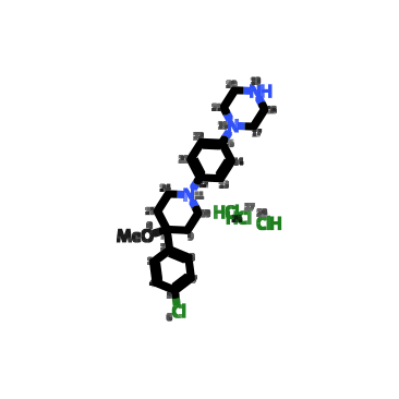 COC1(c2ccc(Cl)cc2)CCN(c2ccc(N3CCNCC3)cc2)CC1.Cl.Cl.Cl